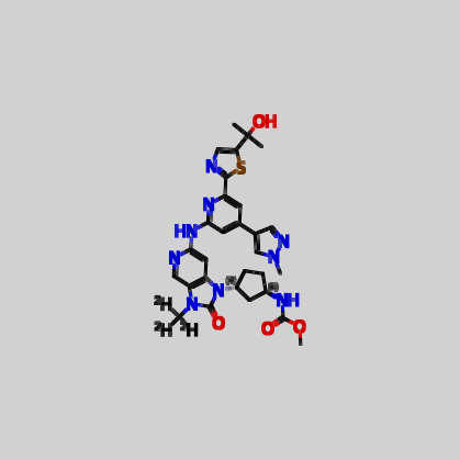 [2H]C([2H])([2H])n1c(=O)n([C@@H]2CC[C@@H](NC(=O)OC)C2)c2cc(Nc3cc(-c4cnn(C)c4)cc(-c4ncc(C(C)(C)O)s4)n3)ncc21